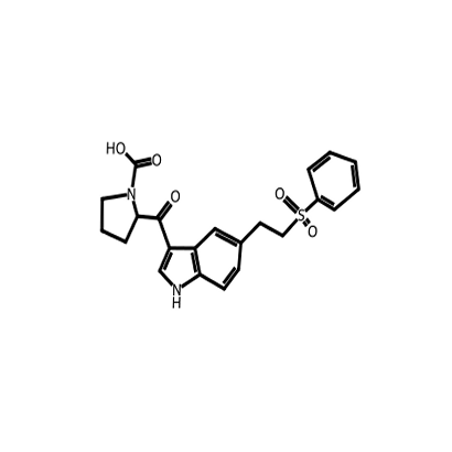 O=C(c1c[nH]c2ccc(CCS(=O)(=O)c3ccccc3)cc12)C1CCCN1C(=O)O